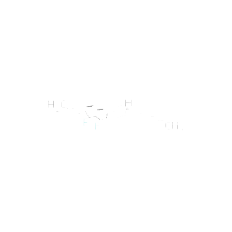 C=CCCc1ccc2cc([C@@H]3CC[C@@H]4CC(CCCCCC)CCC4C3)cc(F)c2c1F